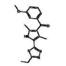 CCc1nnc(-c2[nH]c(C)c(C(=O)c3cccc(OC)c3)c2C)o1